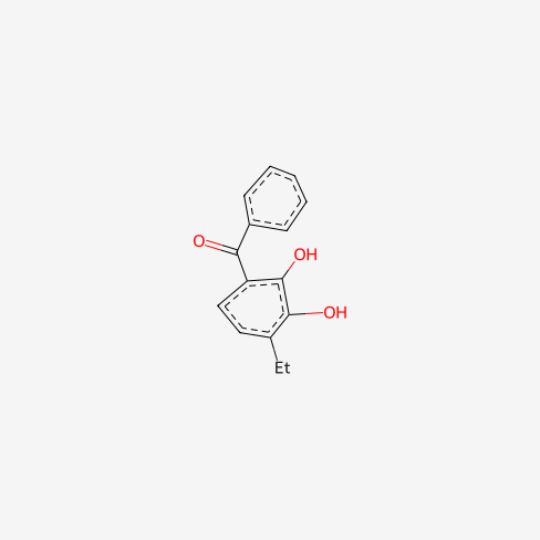 CCc1ccc(C(=O)c2ccccc2)c(O)c1O